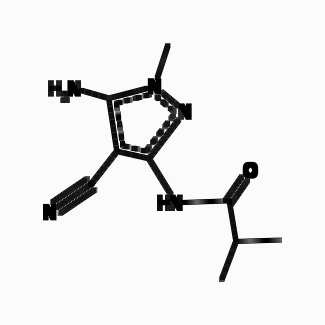 CC(C)C(=O)Nc1nn(C)c(N)c1C#N